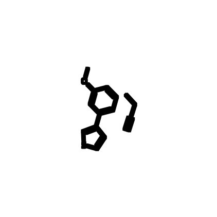 C#CCC.COc1cccc(-c2ccsc2)c1